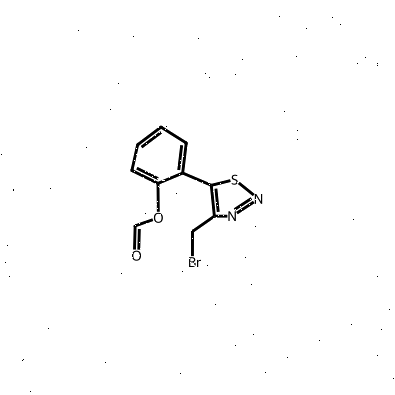 O=COc1ccccc1-c1snnc1CBr